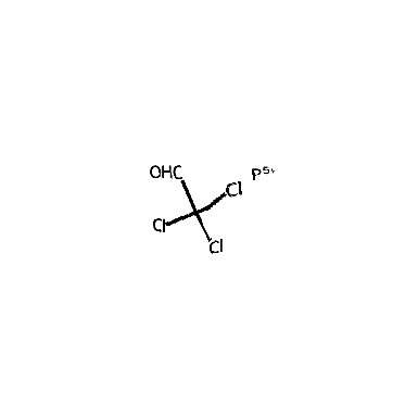 O=CC(Cl)(Cl)Cl.[P+5]